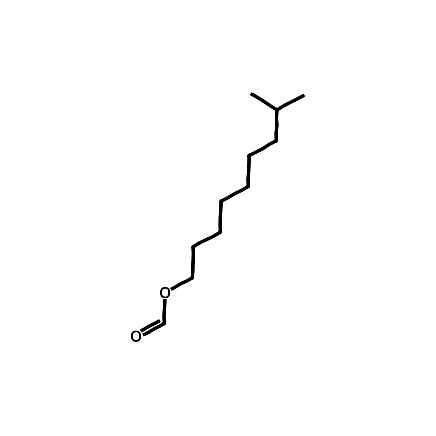 CC(C)CCCCCCCOC=O